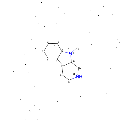 CN1C2CCCCC2C2CCNCC21